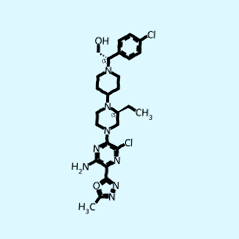 CC[C@H]1CN(c2nc(N)c(-c3nnc(C)o3)nc2Cl)CCN1C1CCN([C@H](CO)c2ccc(Cl)cc2)CC1